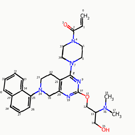 C=CC(=O)N1CCN(c2nc(OCC(CO)N(C)C)nc3c2CCN(c2cccc4ccccc24)C3)CC1